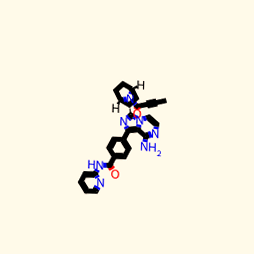 CC#CC(=O)N1[C@@H]2CC[C@H]1[C@@H](c1nc(-c3ccc(C(=O)Nc4ccccn4)cc3)c3c(N)nccn13)C2